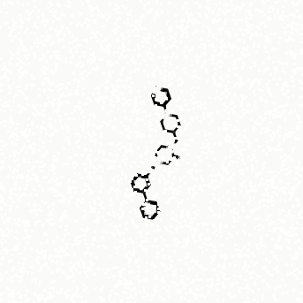 Cl.O=C1CN(S(=O)(=O)c2cccc(-c3ccccc3)c2)CCN1CC1CCN(c2ccncc2)CC1